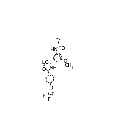 COc1cc(C(C)NC(=O)c2ccc(OCC(F)(F)F)cn2)cc(NC(=O)C2CC2)n1